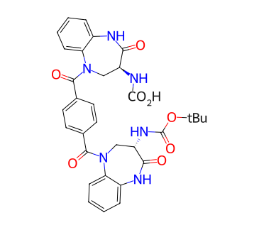 CC(C)(C)OC(=O)N[C@H]1CN(C(=O)c2ccc(C(=O)N3C[C@H](NC(=O)O)C(=O)Nc4ccccc43)cc2)c2ccccc2NC1=O